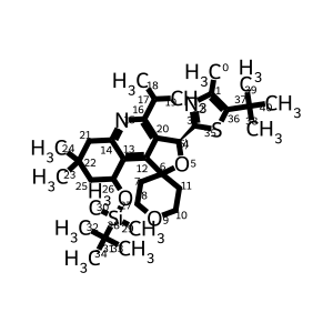 Cc1nc([C@H]2OC3(CCOCC3)c3c4c(nc(C(C)C)c32)CC(C)(C)CC4O[Si](C)(C)C(C)(C)C)sc1C(C)(C)C